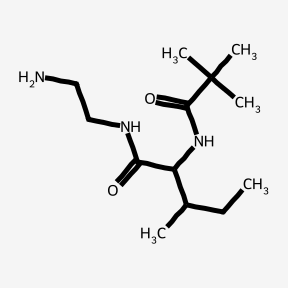 CCC(C)C(NC(=O)C(C)(C)C)C(=O)NCCN